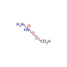 NCCC(=O)NCCOCCOCCC(=O)O